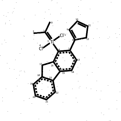 C[C](C)=[Ti]([Cl])([Cl])[c]1c(C2=CC=CC2)ccc2c1Cc1ccccc1-2